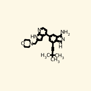 CC(C)(C)C#Cc1cc(-c2ccnc3[nH]c(CN4CCOCC4)cc23)cc2c(N)n[nH]c12